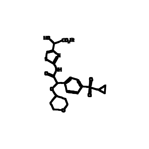 CCOC(=O)C(O)c1csc(NC(=O)C(OC2CCOCC2)c2ccc(S(=O)(=O)C3CC3)cc2)n1